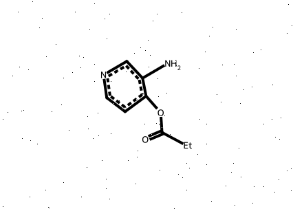 CCC(=O)Oc1ccncc1N